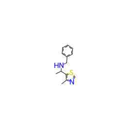 Cc1ncsc1C(C)NCc1ccccc1